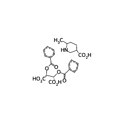 CC1CCC(C(=O)O)CN1.O=C(O[C@H](C(=O)O)[C@H](OC(=O)c1ccccc1)C(=O)O)c1ccccc1